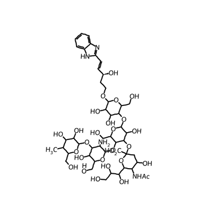 CC(=O)NC1C(O)CC(OC2C(O)C(OC3C(CO)OC(OCC[C@H](O)C=Cc4nc5ccccc5[nH]4)C(O)C3O)OC(CO)C2OC2OC(CO)C(O)C(OC3OC(CO)C(C)C(O)C3O)C2N)(C(=O)O)OC1C(O)C(O)CO